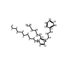 CCCCCCCCCCn1cc[n+](CCCc2ccccc2)c1CCCCCC